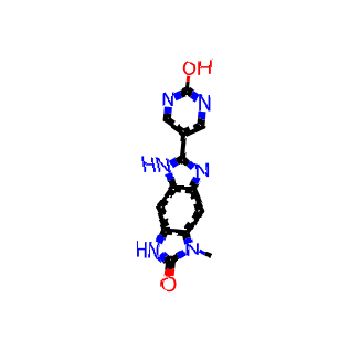 Cn1c(=O)[nH]c2cc3[nH]c(-c4cnc(O)nc4)nc3cc21